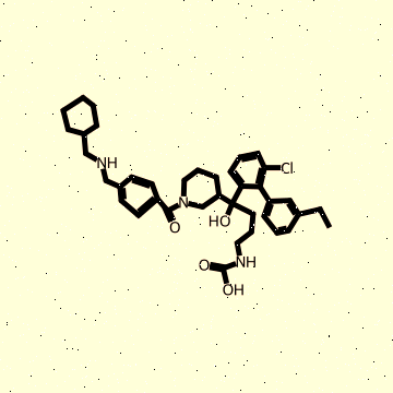 CCc1cccc(-c2c(Cl)cccc2C(O)(CCCNC(=O)O)C2CCCN(C(=O)c3ccc(CNCC4CCCCC4)cc3)C2)c1